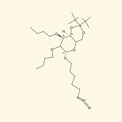 CCCCOC1[C@@H](OCCCCCN=[N+]=[N-])OC2CO[Si](C(C)(C)C)(C(C)(C)C)O[C@@H]2[C@@H]1OCCCC